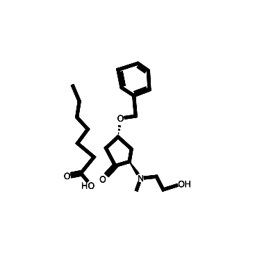 CCCCCCC(=O)O.CN(CCO)[C@@H]1C[C@@H](OCc2ccccc2)CC1=O